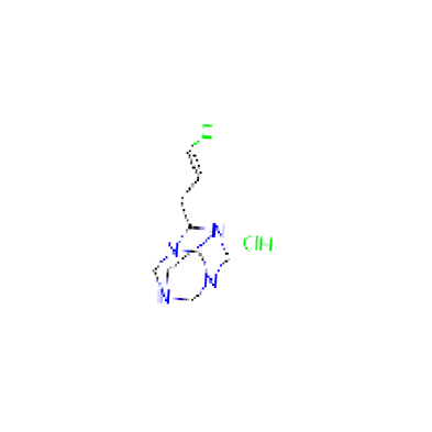 Cl.Cl/C=C/CC1N2CN3CN(C2)CN1C3